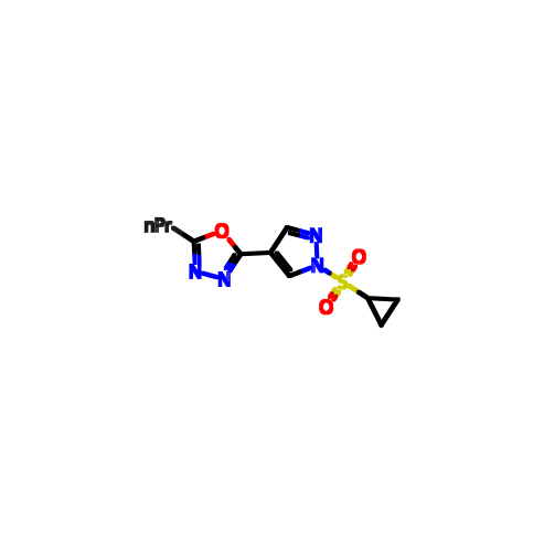 CCCc1nnc(-c2cnn(S(=O)(=O)C3CC3)c2)o1